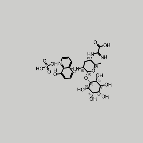 C[C@H]1O[C@H](O[C@H]2[C@H](O)[C@@H](O)[C@@H](O)[C@H](O)[C@@H]2O)[C@@H](N)C[C@@H]1NC(=N)C(=O)O.O=S(=O)(O)O.Oc1cccc2cccnc12